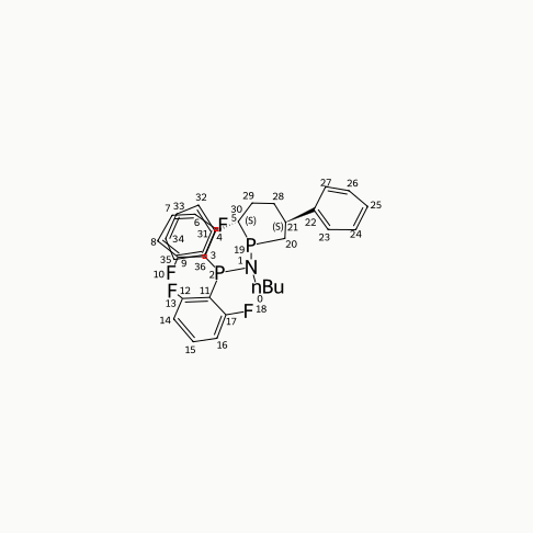 CCCCN(P(c1c(F)cccc1F)c1c(F)cccc1F)P1C[C@H](c2ccccc2)CC[C@H]1c1ccccc1